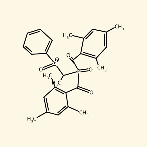 Cc1cc(C)c(C(=O)P(=O)(C(=O)c2c(C)cc(C)cc2C)C(C)S(=O)(=O)c2ccccc2)c(C)c1